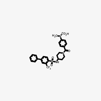 CN(C(=O)O)c1ccc(C(=O)N2CCC(NS(=O)(=O)c3ccc(-c4ccccc4)cc3C(F)(F)F)CC2)cc1